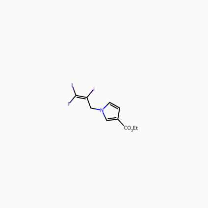 CCOC(=O)c1ccn(CC(I)=C(I)I)c1